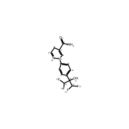 NC(=O)C1=CN(c2ccc(C(O)(C(F)F)C(F)F)cc2)N=CC1